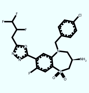 N[C@@H]1CN(Cc2ccc(Cl)cc2)c2cc(-c3nnc(CC(F)C(F)F)o3)c(F)cc2S(=O)(=O)C1